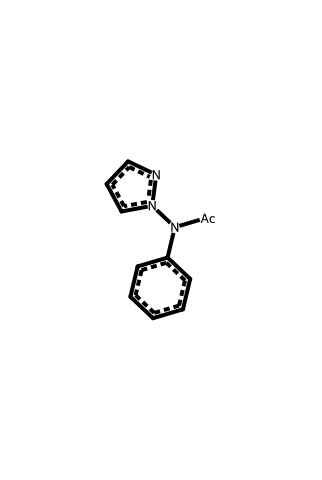 CC(=O)N(c1ccccc1)n1cccn1